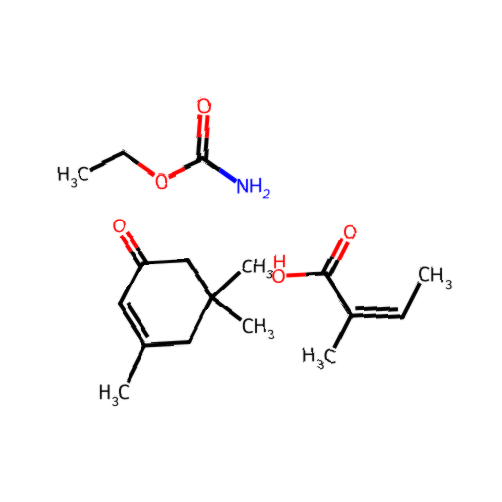 CC1=CC(=O)CC(C)(C)C1.CC=C(C)C(=O)O.CCOC(N)=O